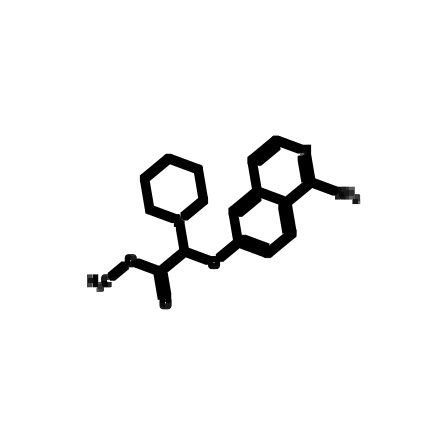 COC(=O)C(Oc1ccc2c(N)nccc2c1)N1CCCCC1